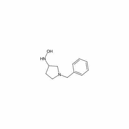 ONC1CCN(Cc2ccccc2)C1